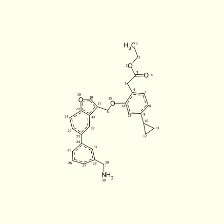 CCOC(=O)Cc1ccc(C2CC2)cc1OCc1coc2ccc(-c3cccc(CN)c3)cc12